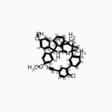 COc1ccc(C(NC2=NC(C)(c3cc(-c4cc(C#N)ccc4Cl)ccc3F)C(F)(F)C(C)(C)O2)(c2ccccc2)c2ccc(OC)cc2)cc1